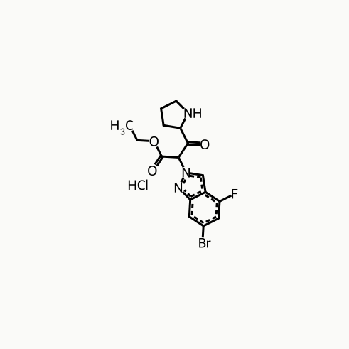 CCOC(=O)C(C(=O)C1CCCN1)n1cc2c(F)cc(Br)cc2n1.Cl